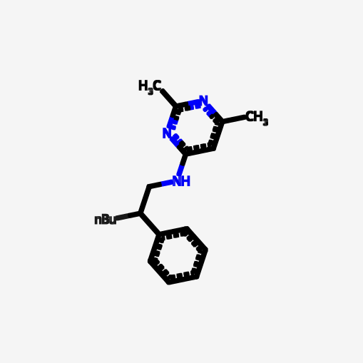 CCCCC(CNc1cc(C)nc(C)n1)c1ccccc1